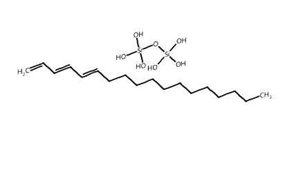 C=CC=CC=CCCCCCCCCCCCC.O[Si](O)(O)O[Si](O)(O)O